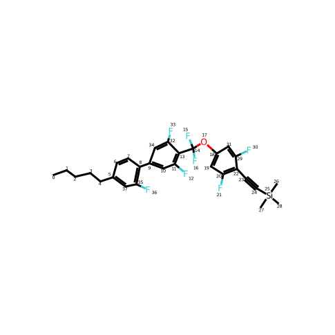 CCCCCc1ccc(-c2cc(F)c(C(F)(F)Oc3cc(F)c(C#C[Si](C)(C)C)c(F)c3)c(F)c2)c(F)c1